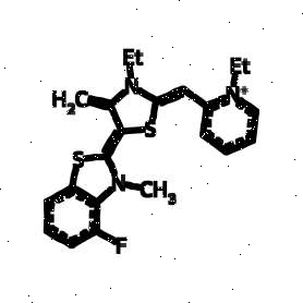 C=C1/C(=C2\Sc3cccc(F)c3N2C)S/C(=C\c2cccc[n+]2CC)N1CC